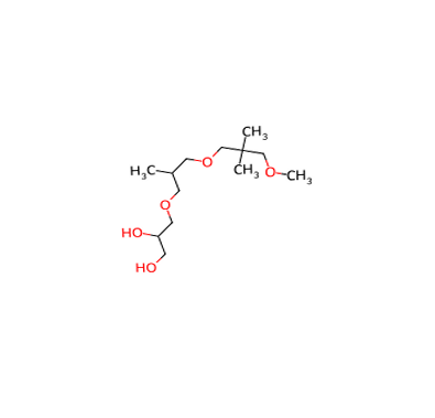 COCC(C)(C)COCC(C)COCC(O)CO